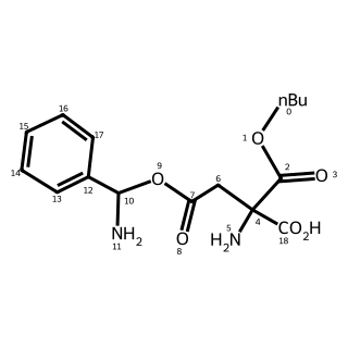 CCCCOC(=O)C(N)(CC(=O)OC(N)c1ccccc1)C(=O)O